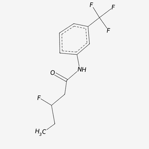 CCC(F)CC(=O)Nc1cccc(C(F)(F)F)c1